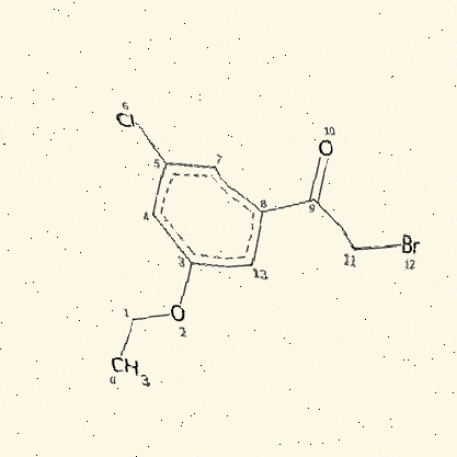 CCOc1cc(Cl)cc(C(=O)CBr)c1